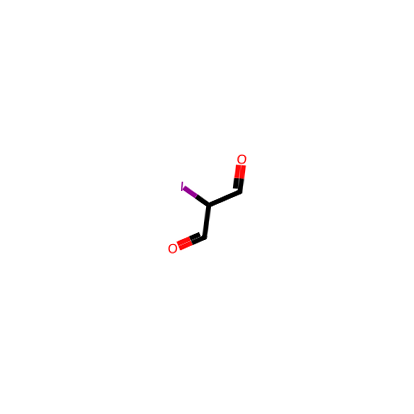 O=CC(I)C=O